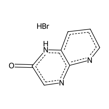 Br.O=c1cnc2ncccc2[nH]1